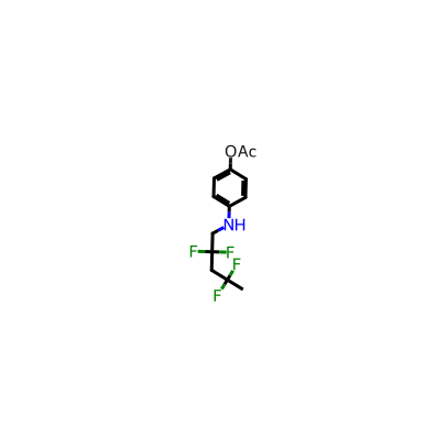 CC(=O)Oc1ccc(NCC(F)(F)CC(C)(F)F)cc1